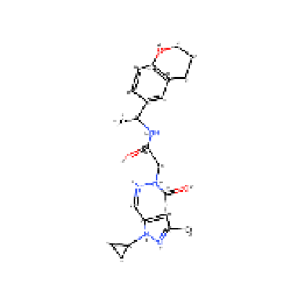 CCc1nn(C2CC2)c2cnn(CC(=O)NC(C)c3ccc4c(c3)CCCO4)c(=O)c12